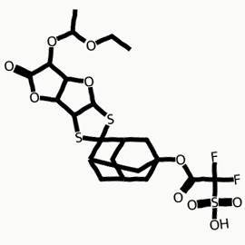 CCOC(C)OC1C(=O)OC2C1OC1SC3(SC12)C1CC2CC3CC(OC(=O)C(F)(F)S(=O)(=O)O)(C2)C1